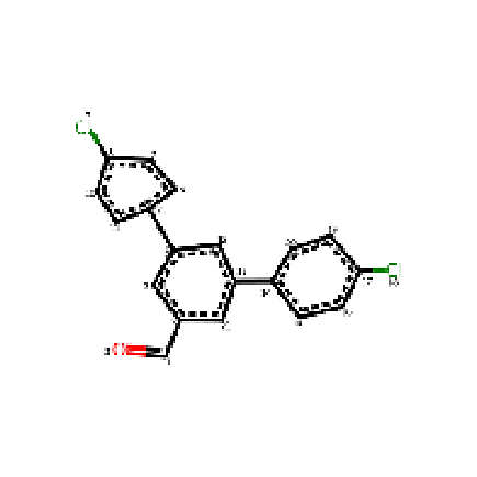 O=Cc1cc(-c2ccc(Cl)cc2)cc(-c2ccc(Cl)cc2)c1